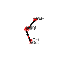 CCCCCCCCOC(CCCCCCCCCCCC=CC(OCCCCC)OC(C=CCCCCCCCCCCCC(OCCCCCCCC)OCCCCCCCC)OCCCCC)OCCCCCCCC